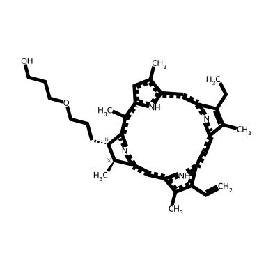 C=Cc1c(C)c2cc3nc(c(C)c4cc(C)c(cc5nc(cc1[nH]2)C(C)=C5CC)[nH]4)[C@@H](CCCOCCCO)[C@@H]3C